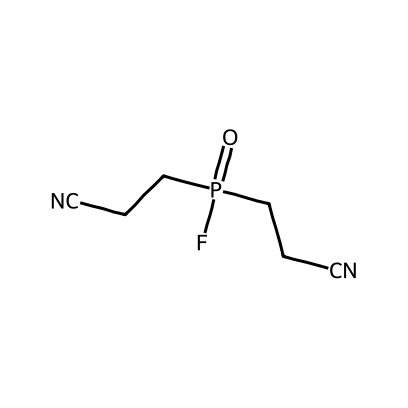 N#CCCP(=O)(F)CCC#N